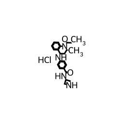 CCC(=O)N1c2ccccc2[C@H](Nc2ccc(C(=O)NC3CNC3)cc2)C[C@@H]1C.Cl